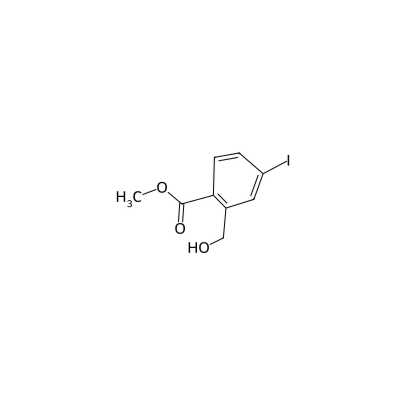 COC(=O)c1ccc(I)cc1CO